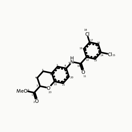 COC(=O)C1CCc2cc(NC(=O)c3cc(Cl)cc(Cl)c3)ccc2O1